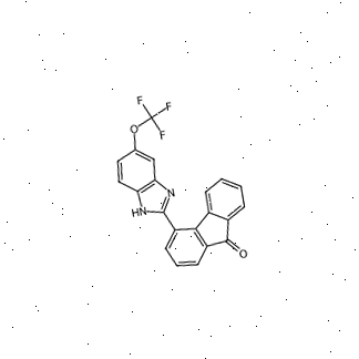 O=C1c2ccccc2-c2c1cccc2-c1nc2cc(OC(F)(F)F)ccc2[nH]1